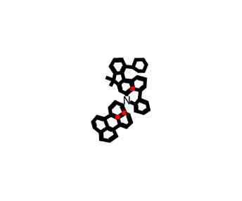 CC1(C)c2cc(N(c3ccc(-c4cccc5cccc(-c6ccccc6)c45)cc3)c3ccccc3-c3ccccc3)ccc2-c2c(C3CCCCC3)cccc21